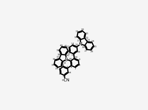 N#Cc1cccc(-c2cccc(-c3cccc(-n4c5ccccc5c5ccccc54)c3)c2-n2c3ccccc3c3ccccc32)c1